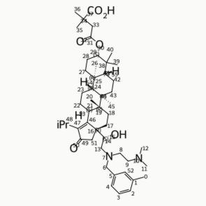 Cc1cccc(CN(CCN(C)C)C[C@@H](O)[C@@]23CC[C@]4(C)[C@H](CC[C@@H]5[C@@]6(C)CC[C@H](OC(=O)CC(C)(C)C(=O)O)C(C)(C)[C@@H]6CC[C@]54C)C2=C(C(C)C)C(=O)C3)c1